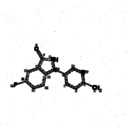 Cc1ccc(-n2[nH]c(=O)c3cc(F)ccc32)cn1